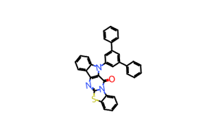 O=c1c2c(nc3sc4ccccc4n13)c1ccccc1n2-c1cc(-c2ccccc2)cc(-c2ccccc2)c1